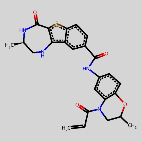 C=CC(=O)N1CC(C)Oc2ccc(NC(=O)c3ccc4sc5c(c4c3)NC[C@@H](C)NC5=O)cc21